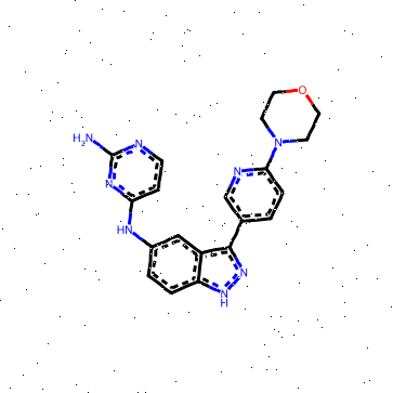 Nc1nccc(Nc2ccc3[nH]nc(-c4ccc(N5CCOCC5)nc4)c3c2)n1